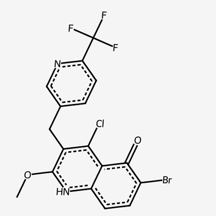 COc1[nH]c2ccc(Br)c(=O)c-2c(Cl)c1Cc1ccc(C(F)(F)F)nc1